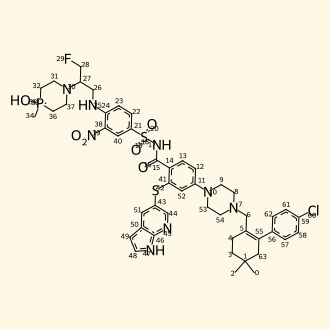 CC1(C)CCC(CN2CCN(c3ccc(C(=O)NS(=O)(=O)c4ccc(NCC(CF)N5CC[P](C)(O)CC5)c([N+](=O)[O-])c4)c(Sc4cnc5[nH]ccc5c4)c3)CC2)=C(c2ccc(Cl)cc2)C1